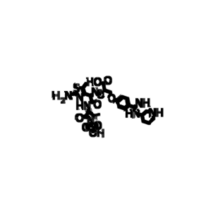 Cc1sc(N)nc1C(=NOC(COc1ccc(C(=N)NC2CCCNC2)cc1)C(=O)O)C(=O)N[C@@H]1C(=O)N(S(=O)(=O)O)[C@@H]1C